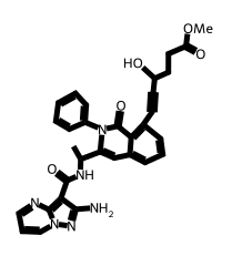 COC(=O)CCC(O)C#Cc1cccc2cc(C(C)NC(=O)c3c(N)nn4cccnc34)n(-c3ccccc3)c(=O)c12